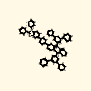 c1ccc(-c2cc(-c3ccccc3)cc(-c3c4ccccc4c(-c4cc(-c5ccccc5)cc(-c5ccccc5)c4)c4cc(-c5ccc(-c6ccc7c(c6)nc(-c6ccccc6)n7-c6ccccc6)cc5)ccc34)c2)cc1